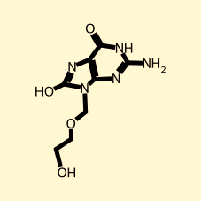 Nc1nc2c(nc(O)n2COCCO)c(=O)[nH]1